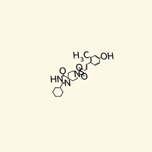 Cc1cc(O)ccc1/C=C/S(=O)(=O)N1CCC2(CC1)N=C(C1CCCCC1)NC2=O